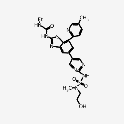 CCNC(=O)Nc1nc2cc(-c3cnc(NS(=O)(=O)N(C)CCO)nc3)cc(-c3ccc(C)cn3)c2s1